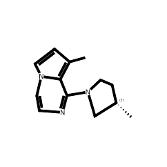 Cc1ccn2ccnc(N3CC[C@H](C)C3)c12